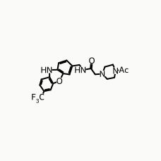 CC(=O)N1CCN(CC(=O)NCc2ccc3c(c2)Oc2cc(C(F)(F)F)ccc2N3)CC1